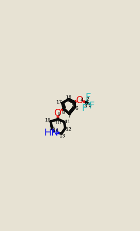 FC(F)(F)Oc1ccc(OC2CCCNCC2)cc1